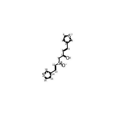 O=C(C=Cc1ccsc1)C[S+]([O-])C=Cc1ccsc1